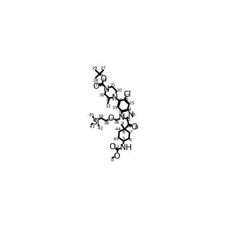 COC(=O)NC1CCC(C)(C(=O)c2nc3cc(Cl)c(N4CCN(C(=O)OC(C)(C)C)CC4C)cc3n2COCC[Si](C)(C)C)CC1